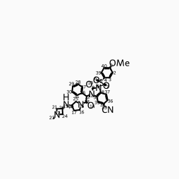 COc1ccc(S(=O)(=O)n2c(=O)n(C(C(=O)N3CC[C@H](NC4CN(C)C4)C3)c3ccccc3)c3cc(C#N)ccc32)cc1